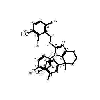 Cc1cc(C2(C)CCCc3nc(SCc4c(F)ccc(O)c4F)n(-c4ccc(F)cc4)c32)ccc1Cl